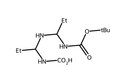 CCC(NC(=O)O)NC(CC)NC(=O)OC(C)(C)C